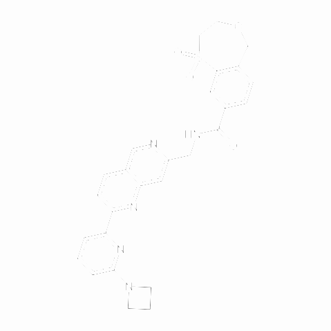 O=C(NCc1cc2nc(-c3cccc(N4CCC4)n3)ccc2cn1)c1ccc2c(c1)S(=O)(=O)CCOC2